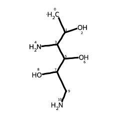 [CH2]C(O)C(N)C(O)C(O)CN